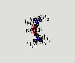 Cc1cccc(N(c2ccc3cc4c(cc3c2)oc2c(C#N)c3oc5cc6cc(N(c7cccc(C)c7C)c7cccc(C)c7C)ccc6cc5c3c(C#N)c24)c2cccc(C)c2C)c1C